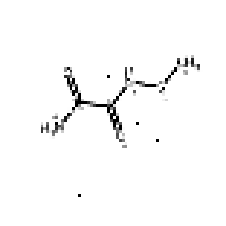 CSNC(=O)C(N)=O